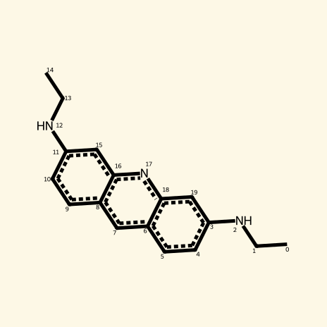 CCNc1ccc2cc3ccc(NCC)cc3nc2c1